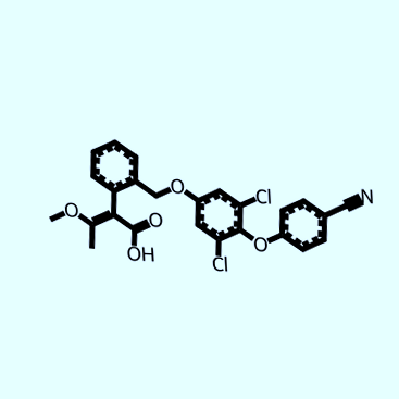 COC(C)=C(C(=O)O)c1ccccc1COc1cc(Cl)c(Oc2ccc(C#N)cc2)c(Cl)c1